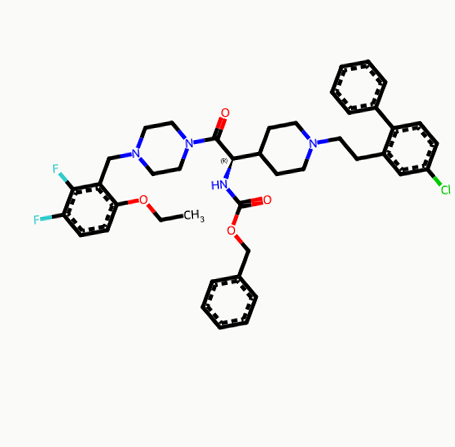 CCOc1ccc(F)c(F)c1CN1CCN(C(=O)[C@H](NC(=O)OCc2ccccc2)C2CCN(CCc3cc(Cl)ccc3-c3ccccc3)CC2)CC1